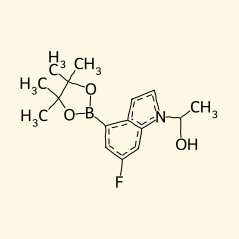 CC(O)n1ccc2c(B3OC(C)(C)C(C)(C)O3)cc(F)cc21